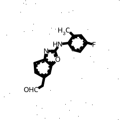 Cc1cc(F)ccc1Nc1nc2ccc(CC=O)cc2o1